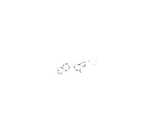 Cc1cn2nc(-c3cc(=O)n4cc(C5(F)CCNCC5)sc4n3)cc(C)c2n1